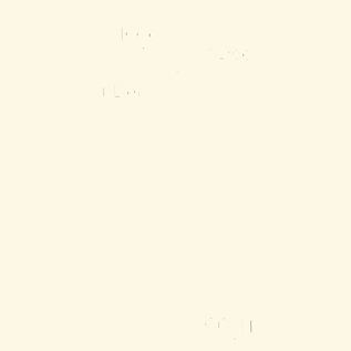 CCCCCCCCCCC(CCCCCCCCCC)(CCCCCCC(=O)O)C(=O)O